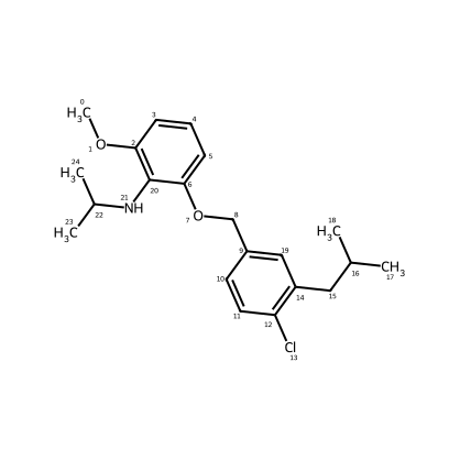 COc1cccc(OCc2ccc(Cl)c(CC(C)C)c2)c1NC(C)C